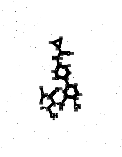 C[C@@H](O)[C@@H](Nc1cc(-c2cnc(NC(=O)C3CC3)cn2)cnc1C#N)C(=O)N(C)C